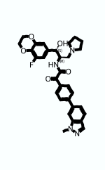 Cn1ncc2ccc(-c3ccc(C(=O)C(=O)N[C@H](CN4CCCC4)[C@@H](O)c4cc(F)c5c(c4)OCCO5)cc3)cc21